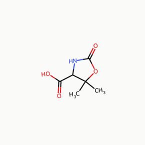 CC1(C)OC(=O)NC1C(=O)O